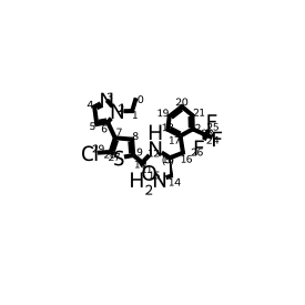 CCn1nccc1-c1cc(C(=O)N[C@H](CN)Cc2ccccc2C(F)(F)F)sc1Cl